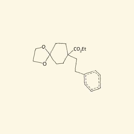 CCOC(=O)C1(CCc2ccccc2)CCC2(CC1)OCCO2